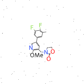 COc1ncc(-c2cc(C)c(F)c(F)c2)cc1CN1CCOC1=O